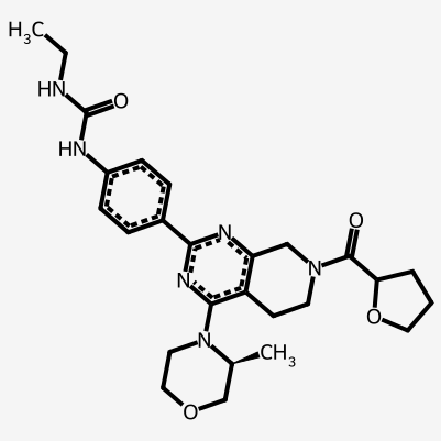 CCNC(=O)Nc1ccc(-c2nc3c(c(N4CCOC[C@@H]4C)n2)CCN(C(=O)C2CCCO2)C3)cc1